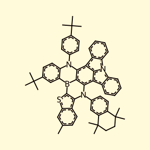 Cc1ccc2c3c(sc2c1)B1c2cc(C(C)(C)C)ccc2N(c2ccc(C(C)(C)C)cc2)c2c1c(c1c4ccccc4n4c5ccccc5c2c14)N3c1ccc2c(c1)C(C)(C)CCC2(C)C